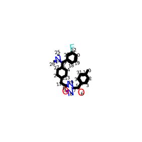 Cc1ccc(C(=O)c2noc(CC3CCC(C(c4cccc(F)c4)N(C)C)CC3)n2)cc1